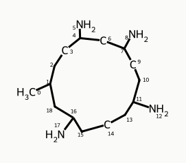 CC1CCC(N)CC(N)CCC(N)CCCC(N)C1